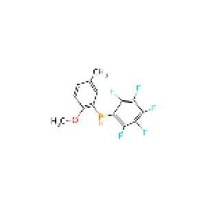 COc1ccc(C)cc1Pc1c(F)c(F)c(F)c(F)c1F